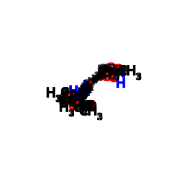 CCN(c1cc(-c2ccc(N3CCN(CCCCCCCOc4cccc5c4C(=O)N(C(C=O)CCC(=O)NC)C5=O)CC3)nc2)cc(C(=O)NCc2c3c(c(C)[nH]c2=O)CCCC3)c1C)C1CCOCC1